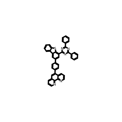 c1ccc(-c2nc(-c3ccccc3)nc(-c3cc(-c4ccc(-c5cc6cccnc6c6ncccc56)cc4)cc4c3sc3ccccc34)n2)cc1